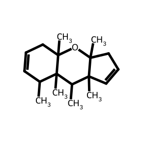 CC1C=CCC2(C)OC3(C)CC=CC3(C)C(C)C12C